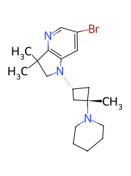 CC1(C)CN([C@H]2C[C@@](C)(N3CCCCC3)C2)c2cc(Br)cnc21